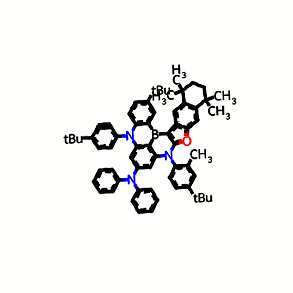 Cc1cc(C(C)(C)C)ccc1N1c2cc(N(c3ccccc3)c3ccccc3)cc3c2B(c2cc(C(C)(C)C)ccc2N3c2c#cc(C(C)(C)C)cc2)c2c1oc1cc3c(cc21)C(C)(C)CCC3(C)C